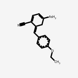 CCOc1ccc(C=C2CC([AsH2])=CC=C2C#N)cc1